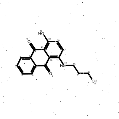 O=C1c2ccccc2C(=O)c2c(NCCCO)ccc(O)c21